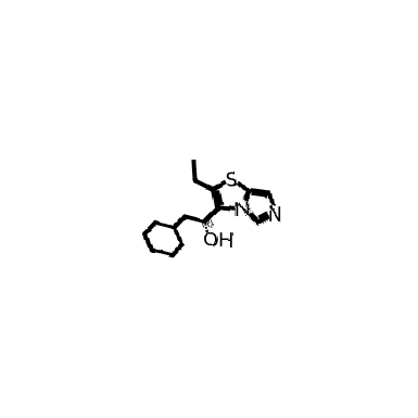 CCc1sc2cncn2c1[C@H](O)CC1CCCCC1